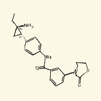 CC[C@@]1(N)C[C@H]1c1ccc(NC(=O)c2cccc(N3CCOC3=O)c2)cc1